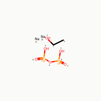 CCO.O=[PH](O)O[PH](=O)O.[Na].[Na]